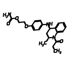 CCC(=O)N1c2ccccc2[C@H](Nc2ccc(OCCOC(N)=O)cc2)C[C@@H]1C